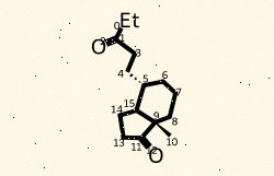 CCC(=O)CC[C@@H]1CCC[C@]2(C)C(=O)CCC12